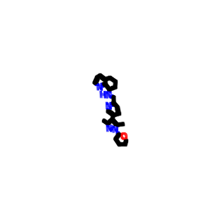 Cc1nn(C2CCCCO2)c(C)c1-c1ccc(CNC2CCCc3cccnc32)nc1